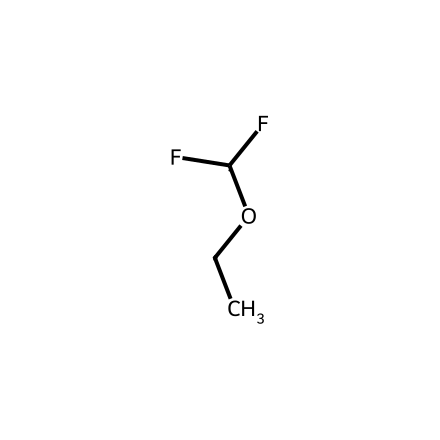 CCO[C](F)F